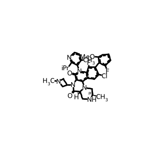 COc1cccc(F)c1-c1c(Cl)cc2c3c(c(=O)n(-c4c(C)ccnc4C(C)C)c2c1F)N(C1CN(C)C1)C(=O)[C@H]1CN[C@H](C)CN31